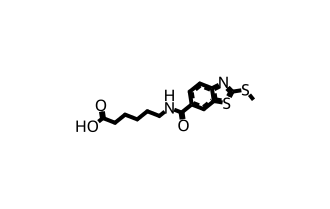 CSc1nc2ccc(C(=O)NCCCCCC(=O)O)cc2s1